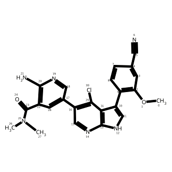 COc1cc(C#N)ccc1-c1c[nH]c2ncc(-c3cnc(N)c(C(=O)N(C)C)c3)c(Cl)c12